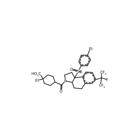 CCc1ccc(S(=O)(=O)C23CCN(C(=O)C4CCC(CC)(C(=O)O)CC4)C2CCc2cc(C(F)(C(F)(F)F)C(F)(F)F)ccc23)cc1